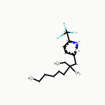 CCCCCCC(C)(CC)Cc1ccc(C(F)(F)F)nc1